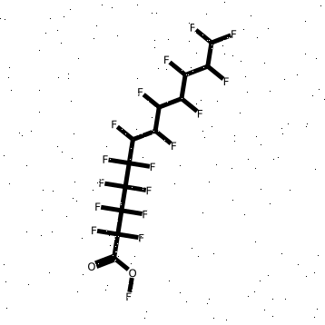 O=C(OF)C(F)(F)C(F)(F)C(F)(F)C(F)(F)C(F)C(F)C(F)C(F)C(F)C(F)C(F)F